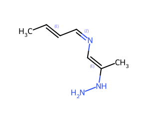 C/C=C/C=N\C=C(/C)NN